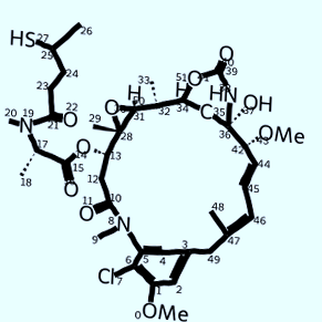 COc1cc2cc(c1Cl)N(C)C(=O)C[C@H](OC(=O)[C@H](C)N(C)C(=O)CCC(C)S)[C@]1(C)O[C@H]1[C@H](C)[C@@H]1C[C@@](O)(NC(=O)O1)[C@H](OC)/C=C/C=C(\C)C2